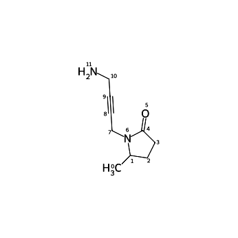 CC1CCC(=O)N1CC#CCN